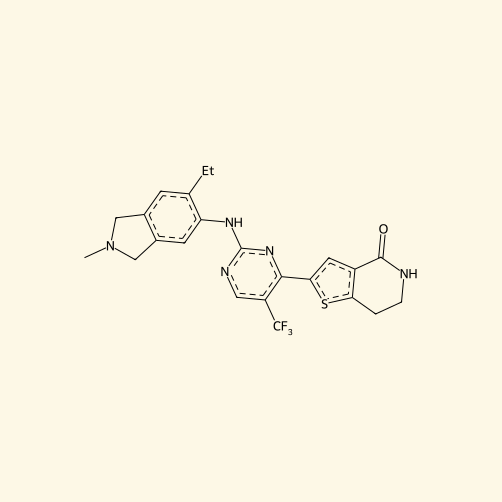 CCc1cc2c(cc1Nc1ncc(C(F)(F)F)c(-c3cc4c(s3)CCNC4=O)n1)CN(C)C2